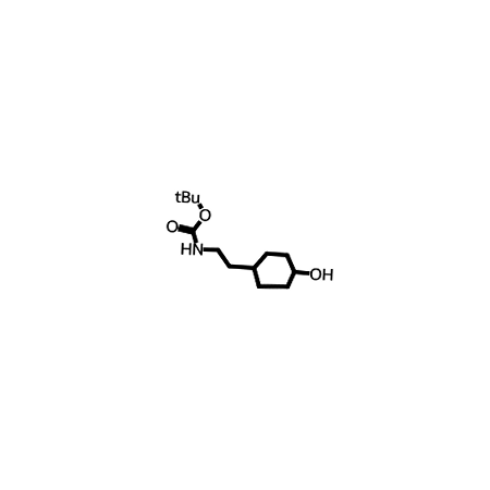 CC(C)(C)OC(=O)NCCC1CCC(O)CC1